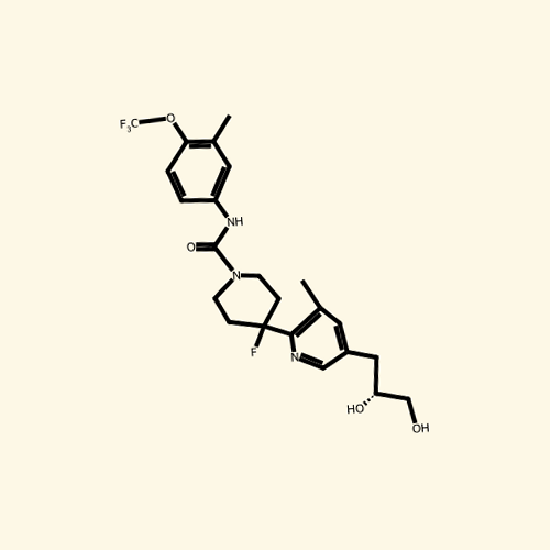 Cc1cc(NC(=O)N2CCC(F)(c3ncc(C[C@@H](O)CO)cc3C)CC2)ccc1OC(F)(F)F